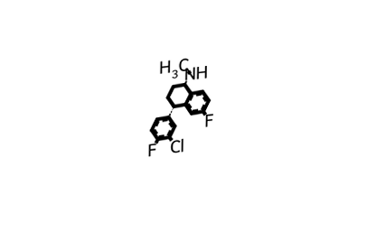 CN[C@H]1CC[C@@H](c2ccc(F)c(Cl)c2)c2cc(F)ccc21